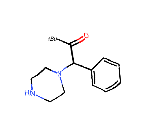 CC(C)(C)C(=O)C(c1ccccc1)N1CCNCC1